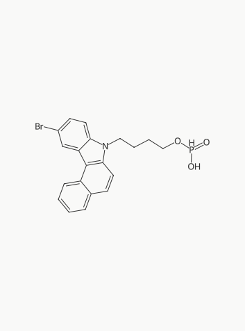 O=[PH](O)OCCCCn1c2ccc(Br)cc2c2c3ccccc3ccc21